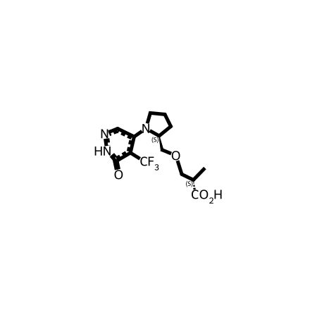 C[C@@H](COC[C@@H]1CCCN1c1cn[nH]c(=O)c1C(F)(F)F)C(=O)O